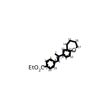 CCOC(=O)c1ccc(/C=C(\C)c2ccc3c(c2)CCCCO3)cc1